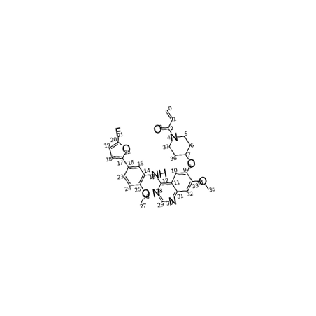 C=CC(=O)N1CCC(Oc2cc3c(Nc4cc(-c5ccc(F)o5)ccc4OC)ncnc3cc2OC)CC1